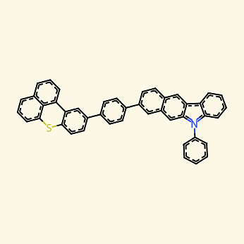 c1ccc(-n2c3ccccc3c3cc4ccc(-c5ccc(-c6ccc7c(c6)-c6cccc8cccc(c68)S7)cc5)cc4cc32)cc1